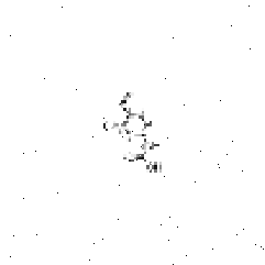 C=Cc1ccc(NC(=O)O)cc1Cl